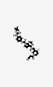 C[C@@H]1CCN(C(=O)CC#N)CC1/C=[N+](\C)c1ncnc2c1ccn2C(=S)Oc1ccc(NC(=O)OC(C)(C)C)cc1